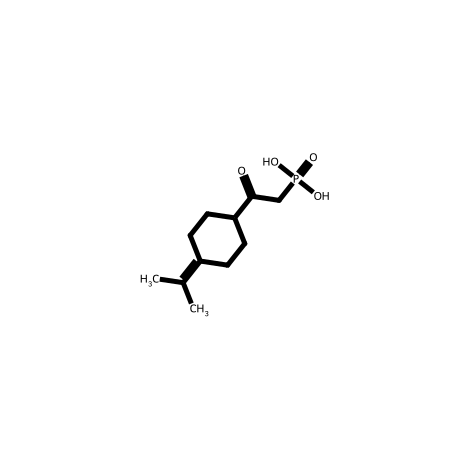 CC(C)=C1CCC(C(=O)CP(=O)(O)O)CC1